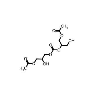 CC(=O)OCC(O)COC(=O)OC(CO)COC(C)=O